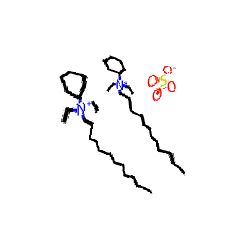 CCCCCCCCCCCC[N+](CC)(CC)C1CCCCC1.CCCCCCCCCCCC[N+](CC)(CC)C1CCCCC1.O=S(=O)([O-])[O-]